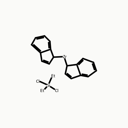 C1=C[CH]([Zr][CH]2C=Cc3ccccc32)c2ccccc21.CC[Si](Cl)(Cl)CC